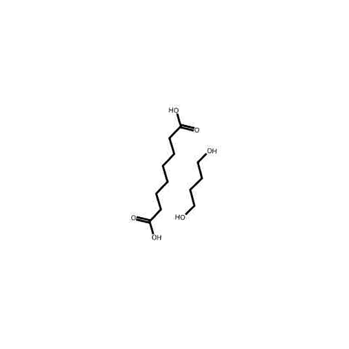 O=C(O)CCCCCCC(=O)O.OCCCCO